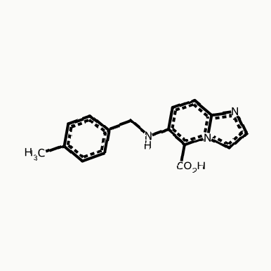 Cc1ccc(CNc2ccc3nccn3c2C(=O)O)cc1